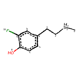 C[SiH2]CCc1ccc(O)c(F)c1